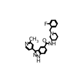 Cc1cc(-c2n[nH]c3ccc(C(=O)N[C@@H]4CCCN(Cc5ccccc5F)C4)cc23)ccn1